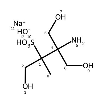 CC(CO)(C(N)(CO)CO)S(=O)(=O)O.[Na+].[OH-]